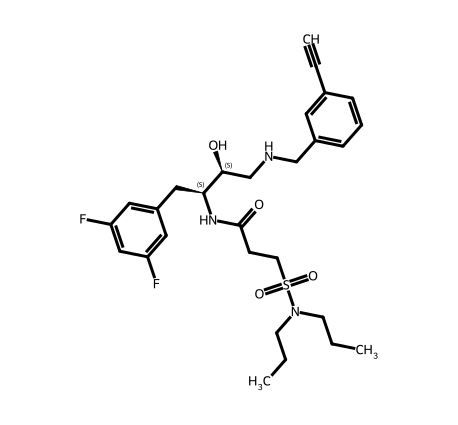 C#Cc1cccc(CNC[C@H](O)[C@H](Cc2cc(F)cc(F)c2)NC(=O)CCS(=O)(=O)N(CCC)CCC)c1